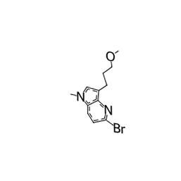 COCCCc1cn(C)c2ccc(Br)nc12